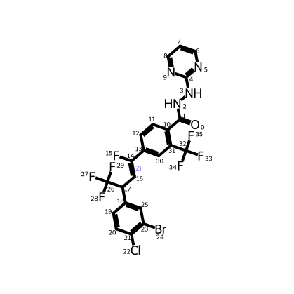 O=C(NNc1ncccn1)c1ccc(/C(F)=C/C(c2ccc(Cl)c(Br)c2)C(F)(F)F)cc1C(F)(F)F